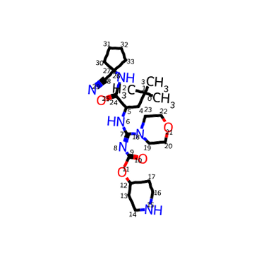 CC(C)(C)CC(NC(=NC(=O)OC1CCNCC1)N1CCOCC1)C(=O)NC1(C#N)CCCC1